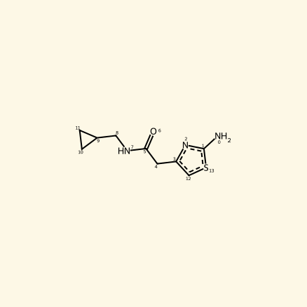 Nc1nc(CC(=O)NCC2CC2)cs1